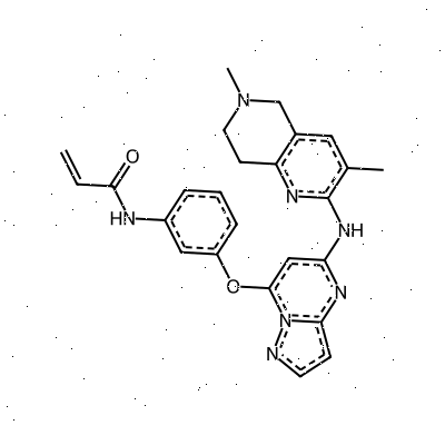 C=CC(=O)Nc1cccc(Oc2cc(Nc3nc4c(cc3C)CN(C)CC4)nc3ccnn23)c1